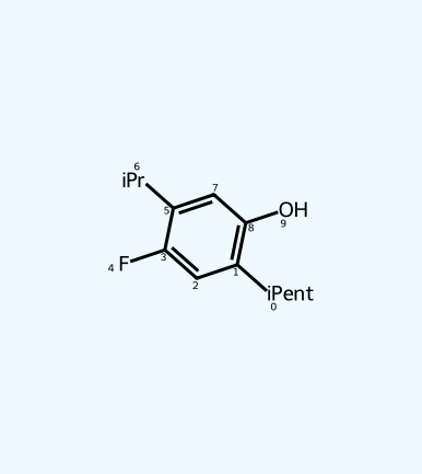 CCCC(C)c1cc(F)c(C(C)C)cc1O